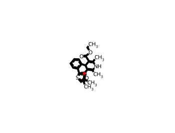 CCOC(=O)C1=C(C)NC(C)=C(C(=O)OCC)C1c1ccccc1-c1nc(C)cs1